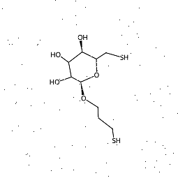 OC1C(O)[C@@H](O)C(CS)O[C@H]1OCCCS